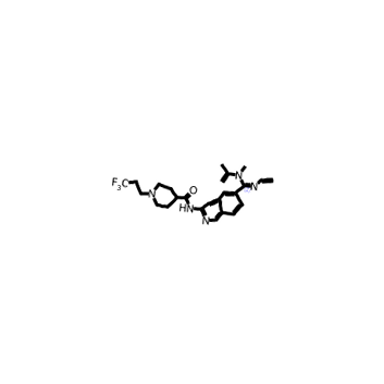 C=C/N=C(/c1ccc2cnc(NC(=O)C3CCN(CCC(F)(F)F)CC3)cc2c1)N(C)C(=C)C